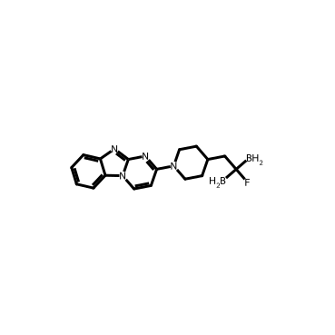 BC(B)(F)CC1CCN(c2ccn3c(n2)nc2ccccc23)CC1